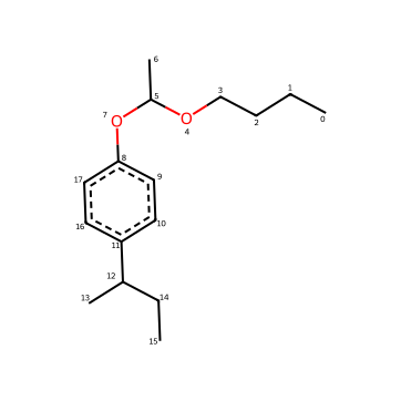 CCCCOC(C)Oc1ccc(C(C)CC)cc1